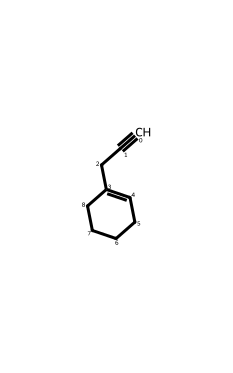 C#CCC1=CCCCC1